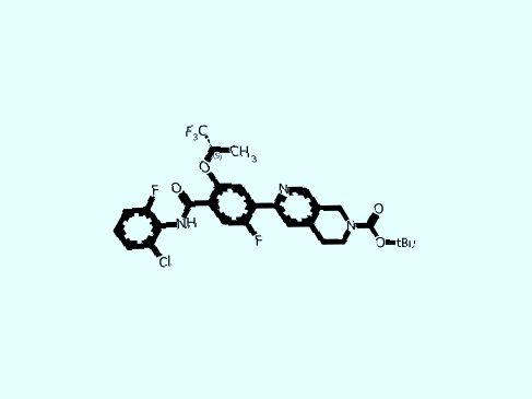 C[C@H](Oc1cc(-c2cc3c(cn2)CN(C(=O)OC(C)(C)C)CC3)c(F)cc1C(=O)Nc1c(F)cccc1Cl)C(F)(F)F